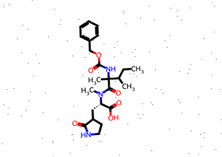 CCC(C)C(C)(NC(=O)OCc1ccccc1)C(=O)N(C)[C@@H](CC1CCNC1=O)C(=O)O